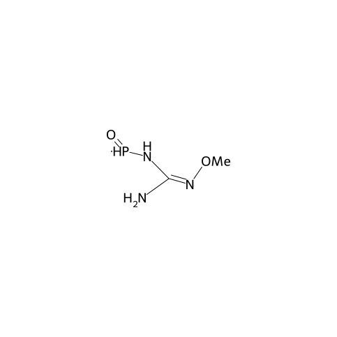 CON=C(N)N[PH]=O